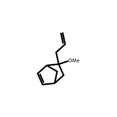 C=CCC1(OC)CC2C=CC1C2